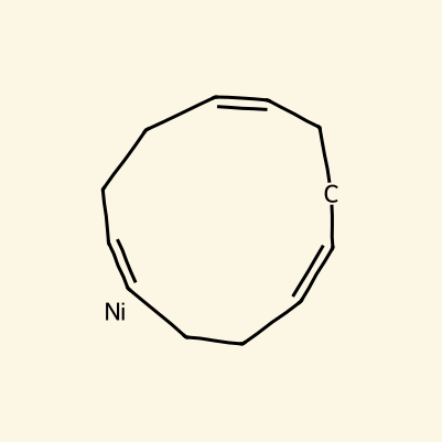 C1=CCCC=CCCC=CCC1.[Ni]